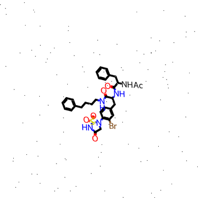 CC(=O)NC(Cc1ccccc1)C(=O)NC(Cc1ccc(N2CC(=O)NS2(=O)=O)c(Br)c1)C(=O)NCCCCc1ccccc1